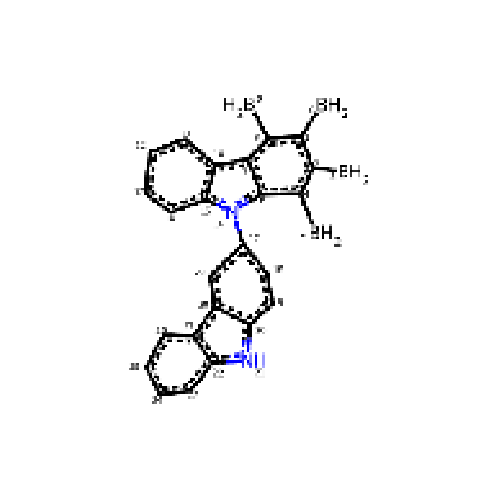 Bc1c(B)c(B)c2c(c1B)c1ccccc1n2-c1ccc2[nH]c3ccccc3c2c1